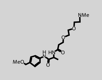 CNCCOCCOCCC(=O)NC(C)C(=O)Nc1ccc(COC)cc1